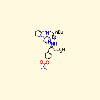 CCCCC(CC)CN(Cc1ccccn1)C1=NC=CN(N[C@@H](Cc2ccc(OC(=O)N(C)C)cc2)C(=O)O)N1